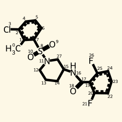 Cc1c(Cl)cccc1S(=O)(=O)N1CCCC(NC(=O)c2c(F)cccc2F)C1